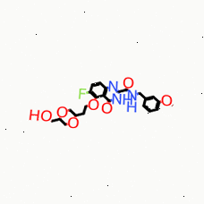 COc1cccc(CNC(=O)c2nc3ccc(F)c(OCCC4COC(CO)CO4)c3c(=O)[nH]2)c1